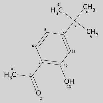 CC(=O)c1ccc(C(C)(C)C)cc1O